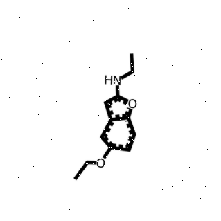 CCNc1cc2cc(OCC)ccc2o1